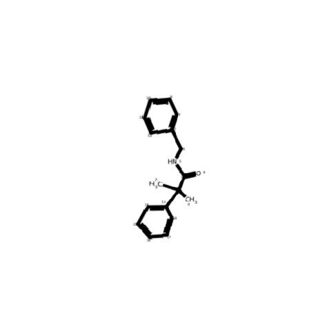 CC(C)(C(=O)NCc1ccccc1)c1ccccc1